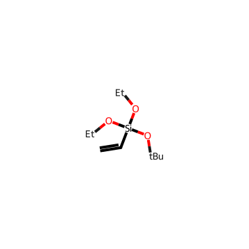 C=C[Si](OCC)(OCC)OC(C)(C)C